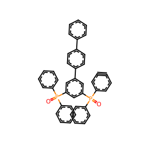 O=P(c1cc#ccc1)(c1ccccc1)c1cc(-c2ccc(-c3ccccc3)cc2)cc(P(=O)(c2ccccc2)c2ccccc2)c1